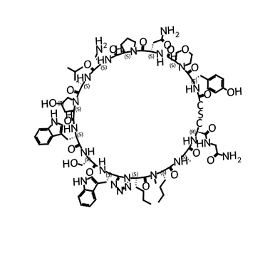 CCCC[C@H]1C(=O)N[C@@H](C)C(=O)N[C@H](C(=O)NCC(N)=O)CSCC(=O)N[C@@H](Cc2ccc(O)cc2)C(=O)N2CCOC[C@H]2C(=O)N[C@@H](CC(N)=O)C(=O)N2CCC[C@H]2C(=O)N[C@@H](CN)C(=O)N[C@@H](CC(C)C)C(=O)N2C[C@H](O)C[C@H]2C(=O)N[C@@H](Cc2c[nH]c3ccccc23)C(=O)N[C@@H](CO)C(=O)N[C@@H](Cc2c[nH]c3ccccc23)c2nnnn2[C@@H](CCCC)C(=O)N1C